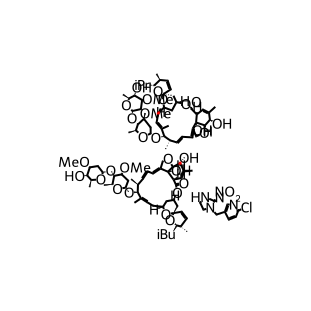 CC[C@H](C)[C@H]1O[C@]2(C=C[C@@H]1C)C[C@@H]1C[C@@H](C/C=C(\C)[C@@H](O[C@H]3C[C@H](OC)[C@@H](O[C@H]4C[C@H](OC)[C@@H](O)[C@H](C)O4)[C@H](C)O3)[C@@H](C)/C=C/C=C3\CO[C@@H]4[C@H](O)C(C)=C[C@@H](C(=O)O1)[C@]34O)O2.CO[C@H]1C[C@H](O[C@H]2[C@H](C)O[C@@H](O[C@@H]3/C(C)=C/C[C@@H]4C[C@@H](C[C@]5(C=C[C@H](C)[C@@H](C(C)C)O5)O4)OC(=O)[C@@H]4C=C(C)[C@@H](O)[C@H]5OC/C(=C\C=C\[C@@H]3C)[C@]54O)C[C@@H]2OC)O[C@@H](C)[C@@H]1O.O=[N+]([O-])/N=C1\NCCN1Cc1ccc(Cl)nc1